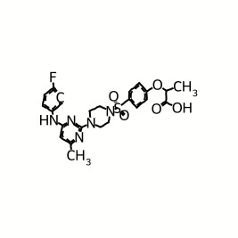 Cc1cc(Nc2ccc(F)cc2)nc(N2CCN(S(=O)(=O)c3ccc(OC(C)C(=O)O)cc3)CC2)n1